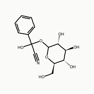 N#CC(O)(OC1O[C@H](CO)[C@@H](O)[C@H](O)[C@H]1O)c1ccccc1